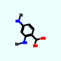 CCNc1ccc(B(O)O)c(NCC)c1